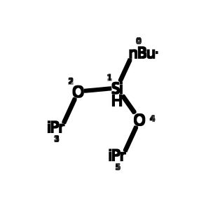 CCC[CH][SiH](OC(C)C)OC(C)C